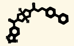 O=C(CCc1ccc(-c2ccccc2)cc1)N1C[C@@H]2CN(C(=O)c3ccc4[nH]nnc4c3)C[C@H]2C1